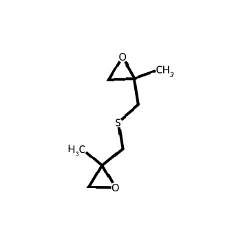 CC1(CSCC2(C)CO2)CO1